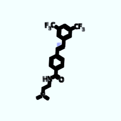 CN(C)CCNC(=O)c1ccc(/C=C/c2cc(C(F)(F)F)cc(C(F)(F)F)c2)cc1